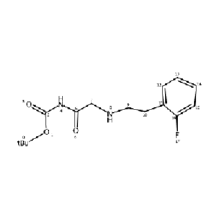 CC(C)(C)OC(=O)NC(=O)CNCCc1ccccc1F